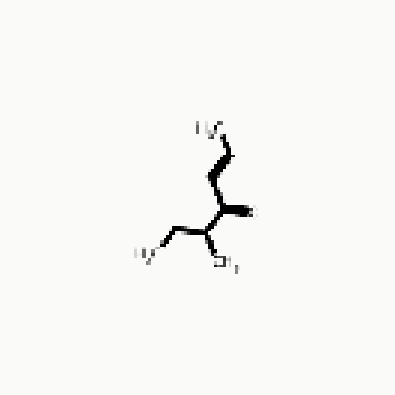 CC=CC(=O)C(C)CC